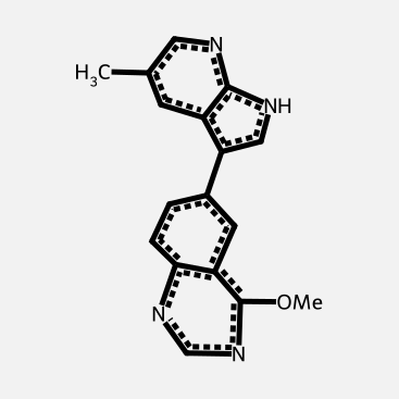 COc1ncnc2ccc(-c3c[nH]c4ncc(C)cc34)cc12